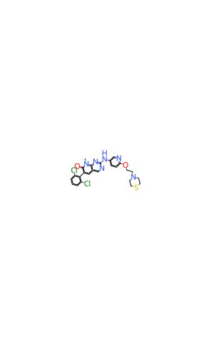 Cn1c(=O)c(-c2c(Cl)cccc2Cl)cc2cnc(Nc3ccc(OCCN4CCSCC4)nc3)nc21